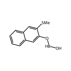 CSc1cc2ccccc2cc1OBO